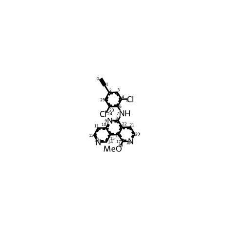 C#Cc1cc(Cl)c(Nc2nc3ccncc3c3c(OC)nccc23)c(Cl)c1